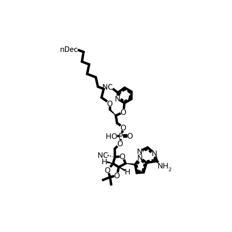 CCCCCCCCCCCCCCCCCCOC[C@H](COP(=O)(O)OC[C@@]1(C#N)O[C@@H](c2ccc3c(N)ncnn23)[C@@H]2OC(C)(C)O[C@@H]21)Oc1cccc(C#N)n1